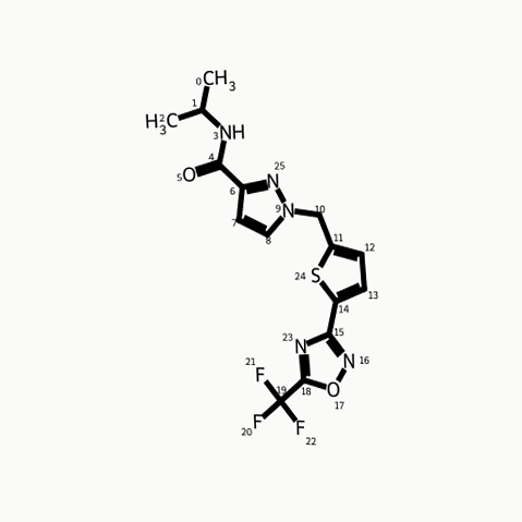 CC(C)NC(=O)c1ccn(Cc2ccc(-c3noc(C(F)(F)F)n3)s2)n1